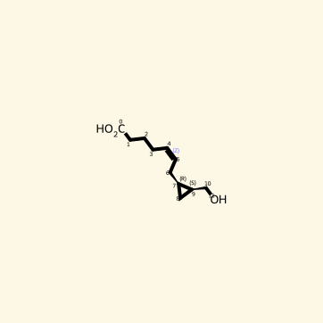 O=C(O)CCC/C=C\C[C@@H]1C[C@@H]1CO